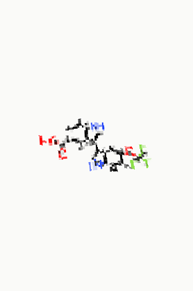 O=C(O)c1ccc2[nH]cc(-c3c[nH]c4ccc(OC(F)(F)F)cc34)c2c1